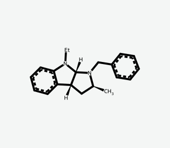 CCN1c2ccccc2[C@H]2C[C@H](C)N(Cc3ccccc3)[C@H]21